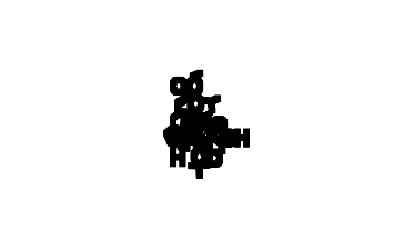 CCOC(=O)/C=C/[C@H](C[C@@H]1CCNC1=O)NC(=O)[C@H](CC(C)C)NC(=O)[C@@H](NC(=O)OC(C)(C)C)C(C)O